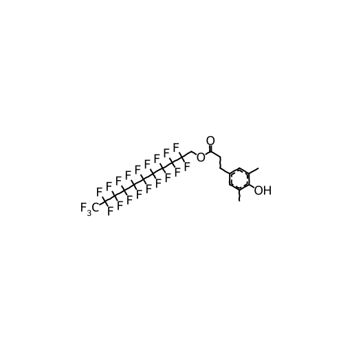 Cc1cc(CCC(=O)OCC(F)(F)C(F)(F)C(F)(F)C(F)(F)C(F)(F)C(F)(F)C(F)(F)C(F)(F)C(F)(F)C(F)(F)F)cc(C)c1O